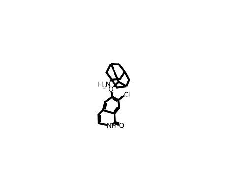 NC12CC3CC(C1)C(Oc1cc4cc[nH]c(=O)c4cc1Cl)C(C3)C2